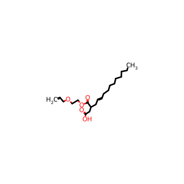 C=CCOCCOC(=O)C(C/C=C/CCCCCCCCC)CC(=O)O